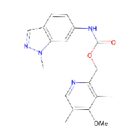 COc1c(C)cnc(COC(=O)Nc2ccc3cnn(C)c3c2)c1C